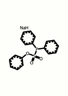 O=S(=O)(Oc1ccccc1)P(c1ccccc1)c1ccccc1.[NaH]